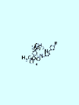 C[C@H](Oc1ccc(S(C)(=O)=O)cc1C(=O)N1Cc2ccc(-c3ccc(F)cc3)nc2C1)C(F)(F)F